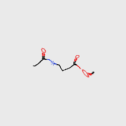 COC(=O)CC[N]C(C)=O